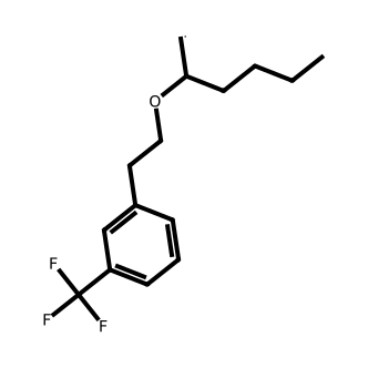 [CH2]C(CCCC)OCCc1cccc(C(F)(F)F)c1